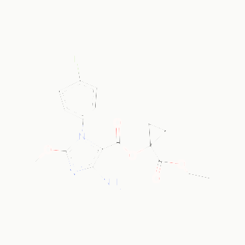 CCOC(=O)C1(OC(=O)c2c(N)nc(OC)n2-c2ccc(F)cc2)CC1